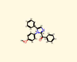 COc1ccc(-n2c(-c3ccccc3)cnc2C(=O)c2ccccc2)cc1